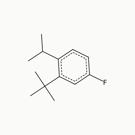 CC(C)c1ccc(F)cc1C(C)(C)C